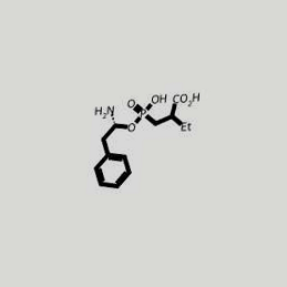 CCC(CP(=O)(O)O[C@@H](N)Cc1ccccc1)C(=O)O